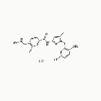 Cc1cc(NC(=O)c2ccc(CNC(C)C)c(F)c2)nn1Cc1cc(Cl)ccc1OCC(C)C.Cl